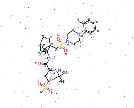 [2H]C([2H])([2H])N[C@@H](CCS(C)(=O)=O)C(=O)NC1CC2CCC1(CS(=O)(=O)N1CCN(c3ccccc3C)CC1)C2(C)C